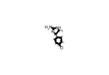 C[C@H]1NC(N)=N[C@@H]1c1ccc(Cl)cc1